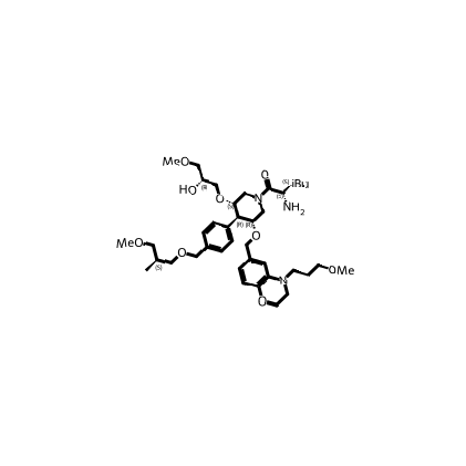 CC[C@H](C)[C@H](N)C(=O)N1C[C@H](OCc2ccc3c(c2)N(CCCOC)CCO3)[C@@H](c2ccc(COC[C@@H](C)COC)cc2)[C@H](OC[C@H](O)COC)C1